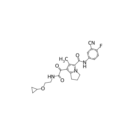 Cc1c(C(=O)C(=O)NCCOC2CC2)c2n(c1C(=O)Nc1ccc(F)c(C#N)c1)CCC2